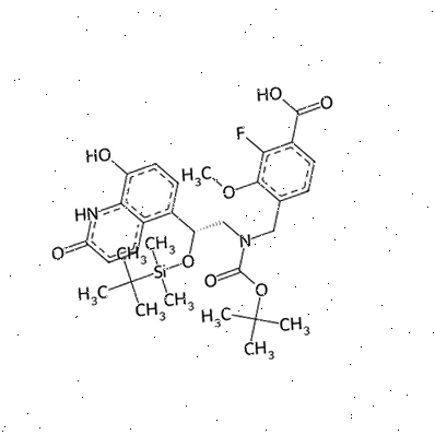 COc1c(CN(C[C@H](O[Si](C)(C)C(C)(C)C)c2ccc(O)c3[nH]c(=O)ccc23)C(=O)OC(C)(C)C)ccc(C(=O)O)c1F